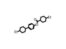 CCC1CCC(C(=O)Oc2ccc(C3CCC(CC)CC3)cc2)CC1